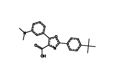 CN(C)c1cccc(-c2oc(-c3ccc(C(C)(C)C)cc3)nc2C(=O)O)c1